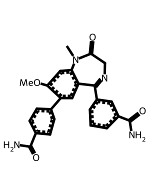 COc1cc2c(cc1-c1ccc(C(N)=O)cc1)C(c1cccc(C(N)=O)c1)=NCC(=O)N2C